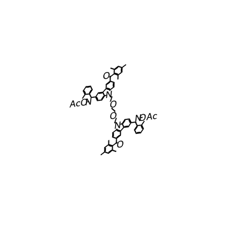 CC(=O)ON=C(c1ccc2c(c1)c1cc(C(=O)c3c(C)cc(C)cc3C)ccc1n2CCOCCOCCn1c2ccc(C(=O)c3c(C)cc(C)cc3C)cc2c2cc(C(=NOC(C)=O)c3ccccc3C)ccc21)c1ccccc1C